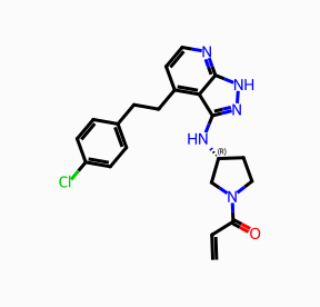 C=CC(=O)N1CC[C@@H](Nc2n[nH]c3nccc(CCc4ccc(Cl)cc4)c23)C1